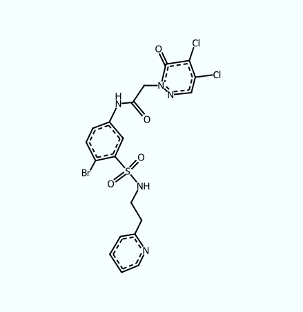 O=C(Cn1ncc(Cl)c(Cl)c1=O)Nc1ccc(Br)c(S(=O)(=O)NCCc2ccccn2)c1